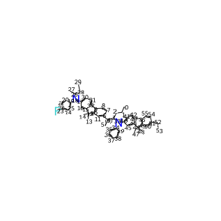 CCCC([C@@H](C)c1ccc2c(c1)C(C)(C)c1cc(N(c3ccc(F)cc3)C(C)CC)ccc1-2)N(c1ccccc1)c1ccc2c(c1)C(C)(C)c1cc(CC)ccc1-2